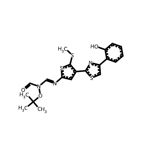 CSc1sc(N=CN(C=O)OC(C)(C)C)cc1-c1nc(-c2ccccc2O)cs1